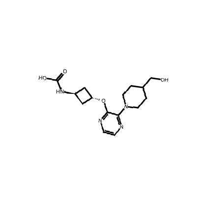 O=C(O)N[C@H]1C[C@H](Oc2nccnc2N2CCC(CO)CC2)C1